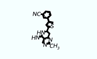 Cc1ncc2c(n1)CC(c1cc(-c3cccc(C#N)c3)cs1)NC2=N